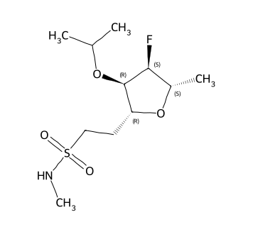 CNS(=O)(=O)CC[C@H]1O[C@@H](C)[C@H](F)[C@@H]1OC(C)C